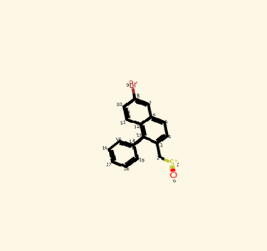 O=[S+]Cc1ccc2cc(Br)ccc2c1-c1ccccc1